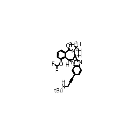 [2H]C([2H])([2H])N1C(=O)c2cccc(OC(F)F)c2[C@H]2C[C@@H]1c1nc3ccc(C#CCNC(C)(C)C)cc3n12